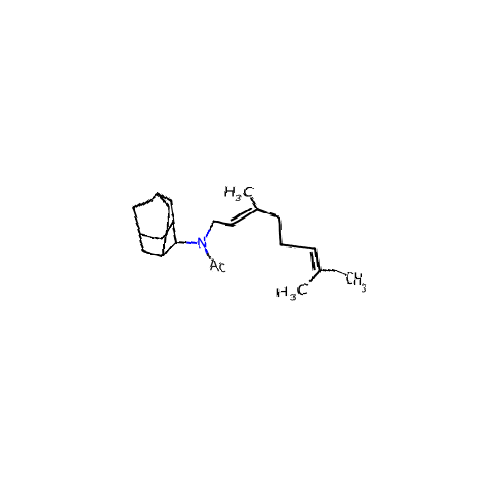 CC(=O)N(C/C=C(\C)CCC=C(C)C)C1C2CC3CC(C2)CC1C3